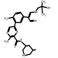 Cc1ccc(/C(C=N)=C/NCC(C)(C)O)cc1-c1cnc(N)c(C(=O)NC2CNCC(F)C2)n1